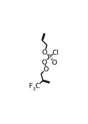 C=CCOP(=O)(Cl)OOCC(=C)C(F)(F)F